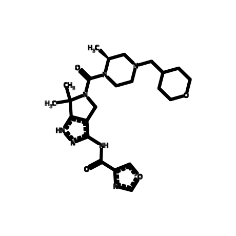 C[C@H]1CN(CC2CCOCC2)CCN1C(=O)N1Cc2c(NC(=O)c3cocn3)n[nH]c2C1(C)C